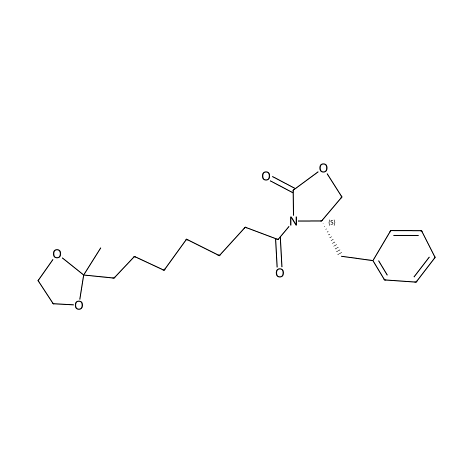 CC1(CCCCCCC(=O)N2C(=O)OC[C@@H]2Cc2ccccc2)OCCO1